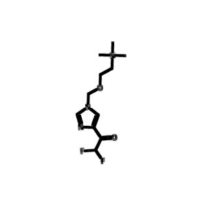 C[Si](C)(C)CCOCn1cnc(C(=O)C(F)F)c1